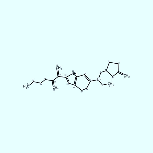 C=C1CCC(CN(CC)C2=Cc3[nH]c(C(=C)C(=C)CCCC)cc3CC2)C1